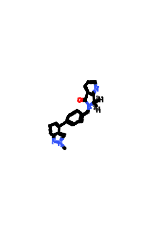 [2H]C1([2H])c2ncccc2C(=O)N1Cc1ccc(-c2cccc3nn(C)cc23)cc1